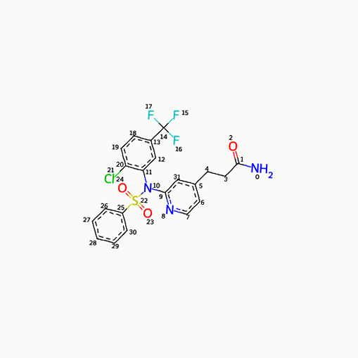 NC(=O)CCc1ccnc(N(c2cc(C(F)(F)F)ccc2Cl)S(=O)(=O)c2ccccc2)c1